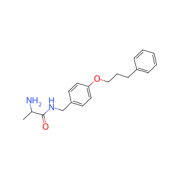 CC(N)C(=O)NCc1ccc(OCCCc2ccccc2)cc1